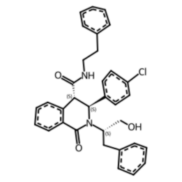 O=C(NCCc1ccccc1)[C@H]1c2ccccc2C(=O)N([C@H](CO)Cc2ccccc2)[C@@H]1c1ccc(Cl)cc1